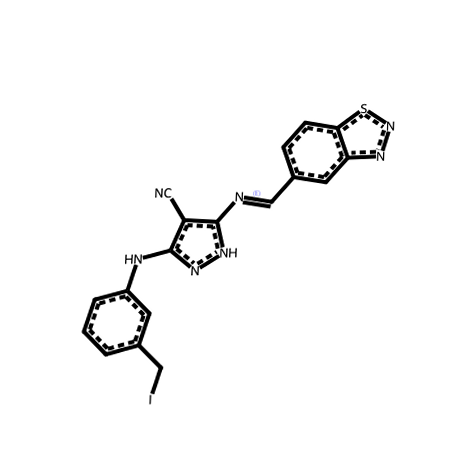 N#Cc1c(Nc2cccc(CI)c2)n[nH]c1/N=C/c1ccc2snnc2c1